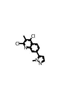 Cc1c(Cl)nc2cc(-c3ccnn3C)ccc2c1Cl